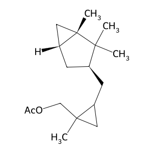 CC(=O)OCC1(C)CC1C[C@H]1C[C@@H]2C[C@]2(C)C1(C)C